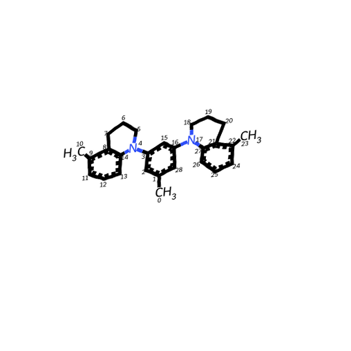 Cc1cc(N2CCCc3c(C)cccc32)cc(N2CCCc3c(C)cccc32)c1